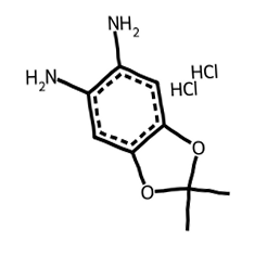 CC1(C)Oc2cc(N)c(N)cc2O1.Cl.Cl